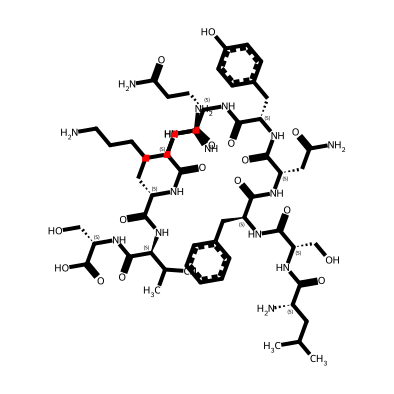 CC(C)C[C@H](N)C(=O)N[C@@H](CO)C(=O)N[C@@H](Cc1ccccc1)C(=O)N[C@@H](CC(N)=O)C(=O)N[C@@H](Cc1ccc(O)cc1)C(=O)N[C@@H](CCC(N)=O)C(=O)N[C@@H](CCCCN)C(=O)N[C@@H](CCCNC(=N)N)C(=O)N[C@H](C(=O)N[C@@H](CO)C(=O)O)C(C)C